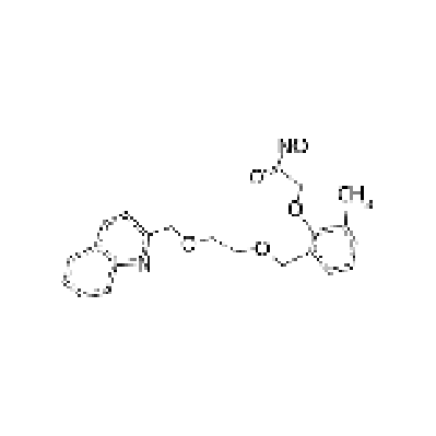 Cc1cccc(COCCOCc2ccc3ccccc3n2)c1OCC(=O)N=O